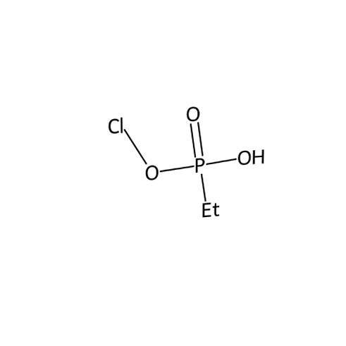 CCP(=O)(O)OCl